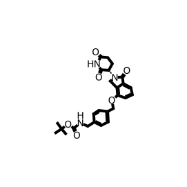 CC(C)(C)OC(=O)NCc1ccc(COc2cccc3c2CN([C@H]2CCC(=O)NC2=O)C3=O)cc1